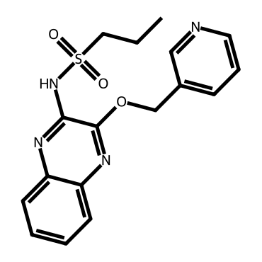 CCCS(=O)(=O)Nc1nc2ccccc2nc1OCc1cccnc1